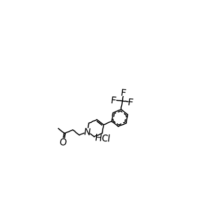 CC(=O)CCN1CC=C(c2cccc(C(F)(F)F)c2)CC1.Cl